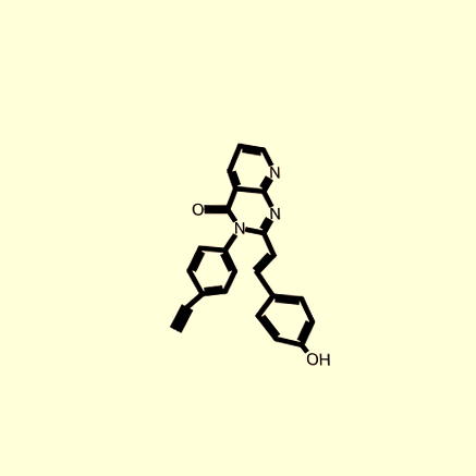 C#Cc1ccc(-n2c(/C=C/c3ccc(O)cc3)nc3ncccc3c2=O)cc1